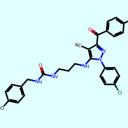 COc1ccc(CNC(=O)NCCCNc2c(C#N)c(C(=O)c3ccc(C)cc3)nn2-c2ccc(Cl)cc2)cc1